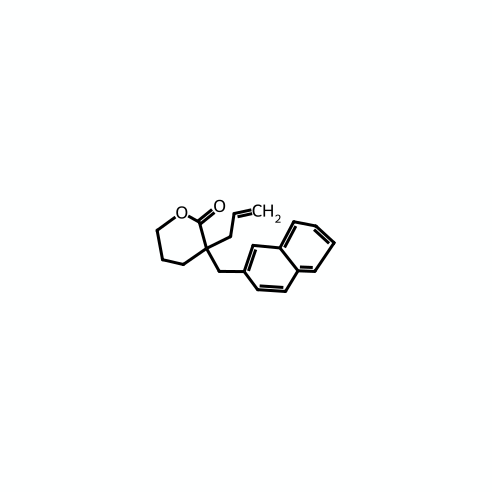 C=CCC1(Cc2ccc3ccccc3c2)CCCOC1=O